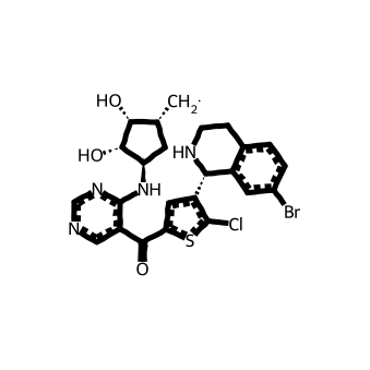 [CH2][C@@H]1C[C@@H](Nc2ncncc2C(=O)c2cc([C@@H]3NCCc4ccc(Br)cc43)c(Cl)s2)[C@H](O)[C@@H]1O